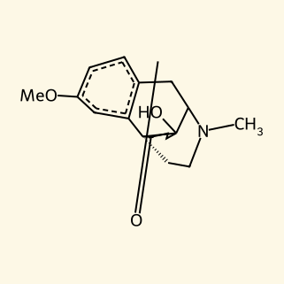 COc1ccc2c(c1)[C@@]13CCN(C)C(C2)C1(O)CCC(=O)C3